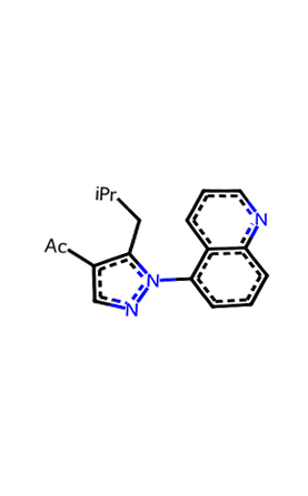 CC(=O)c1cnn(-c2cccc3ncccc23)c1CC(C)C